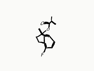 C=C(C)C(=O)OC1(C)CCc2c(F)cccc21